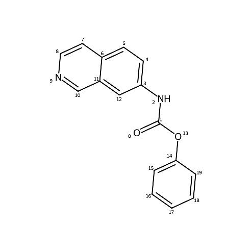 O=C(Nc1ccc2ccncc2c1)Oc1ccccc1